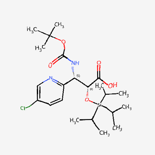 CC(C)[Si](O[C@@H](C(=O)O)[C@@H](NC(=O)OC(C)(C)C)c1ccc(Cl)cn1)(C(C)C)C(C)C